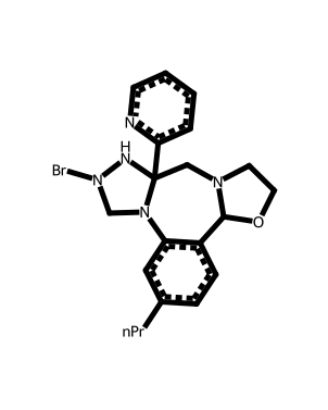 CCCc1ccc2c(c1)N1CN(Br)NC1(c1ccccn1)CN1CCOC21